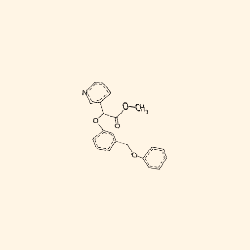 COC(=O)C(Oc1cccc(COc2ccccc2)c1)c1cccnc1